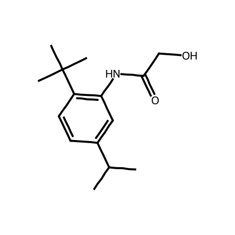 CC(C)c1ccc(C(C)(C)C)c(NC(=O)CO)c1